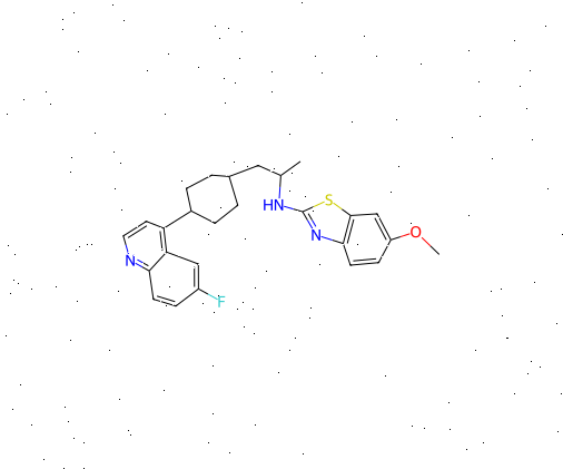 COc1ccc2nc(NC(C)CC3CCC(c4ccnc5ccc(F)cc45)CC3)sc2c1